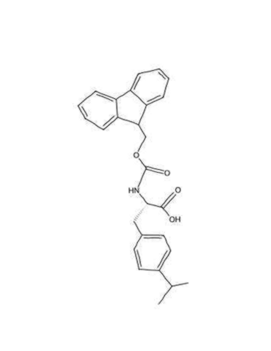 CC(C)c1ccc(C[C@H](NC(=O)OCC2c3ccccc3-c3ccccc32)C(=O)O)cc1